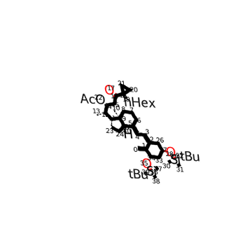 C=C1/C(=C\C=C2/CCC[C@]3(C)[C@@H]([C@H](C)C(CC(=O)C4(CCCCCC)CC4)OC(C)=O)CC[C@@H]23)C[C@@H](O[Si](C)(C)C(C)(C)C)C[C@@H]1O[Si](C)(C)C(C)(C)C